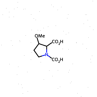 COC1CCN(C(=O)O)C1C(=O)O